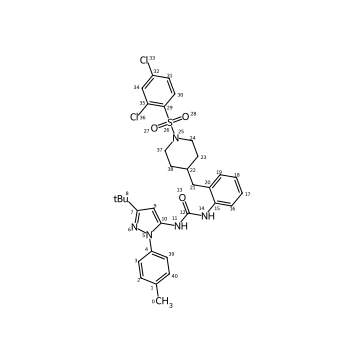 Cc1ccc(-n2nc(C(C)(C)C)cc2NC(=O)Nc2ccccc2CC2CCN(S(=O)(=O)c3ccc(Cl)cc3Cl)CC2)cc1